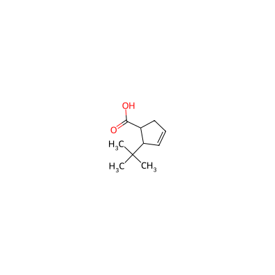 CC(C)(C)C1C=CCC1C(=O)O